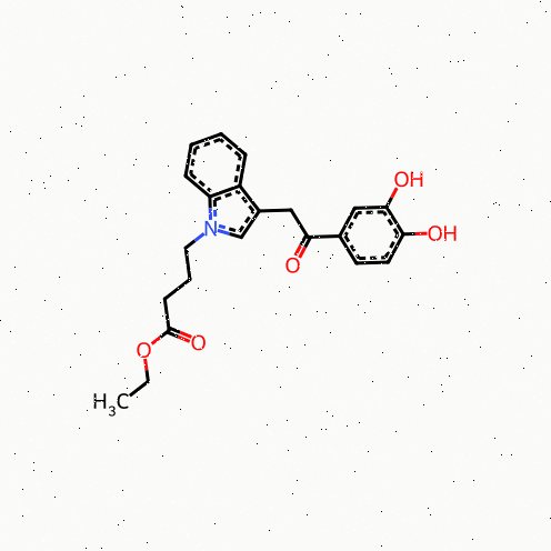 CCOC(=O)CCCn1cc(CC(=O)c2ccc(O)c(O)c2)c2ccccc21